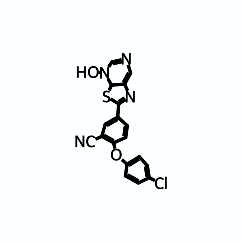 N#Cc1cc(C2=NC3=CN=CN(O)C3S2)ccc1Oc1ccc(Cl)cc1